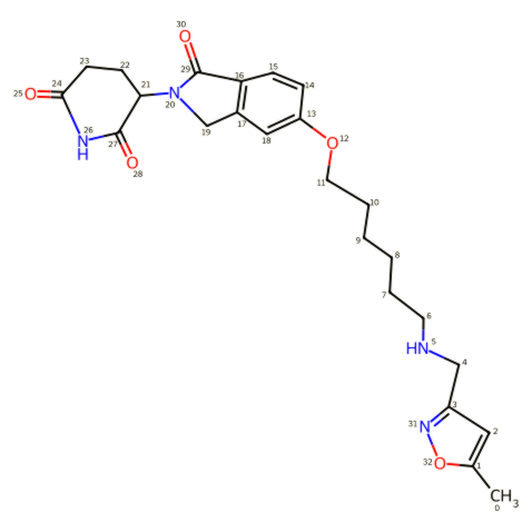 Cc1cc(CNCCCCCCOc2ccc3c(c2)CN(C2CCC(=O)NC2=O)C3=O)no1